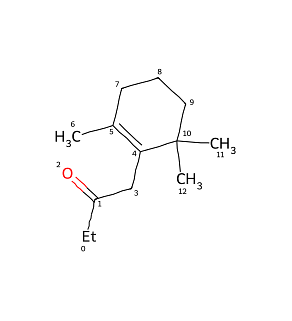 CCC(=O)CC1=C(C)CCCC1(C)C